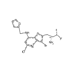 N[C@H](Cc1oc2c(NCc3ccco3)cc(Cl)nc2c1Br)C(F)F